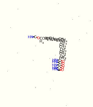 C.C.C.C.C.C.C.C.C.C.C.C.C.C.C.C.C.C.N=C=O.N=C=O.N=C=O.N=C=O.N=C=O.N=C=O